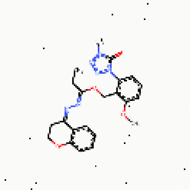 CC/C(=N\N=C1\CCOc2ccccc21)OCc1c(OC)cccc1-n1nnn(C)c1=O